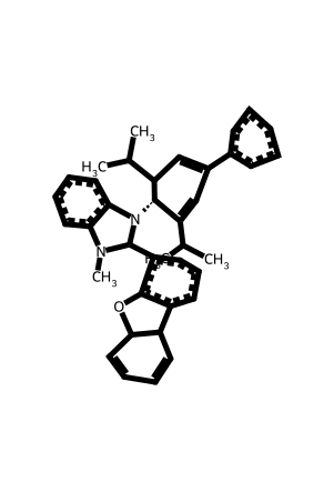 CC(C)C1=CC(c2ccccc2)=CC(C(C)C)[C@H]1N1c2ccccc2N(C)C1c1cccc2c1OC1C=CC=CC21